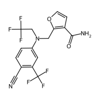 N#Cc1ccc(N(Cc2occc2C(N)=O)CC(F)(F)F)cc1C(F)(F)F